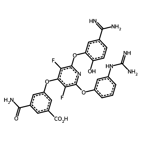 N=C(N)Nc1cccc(Oc2nc(Oc3cc(C(=N)N)ccc3O)c(F)c(Oc3cc(C(N)=O)cc(C(=O)O)c3)c2F)c1